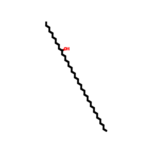 CCCCCCCCCCCCCCCCCCCCCCCCCCCCC(O)CCCCCCCCCC